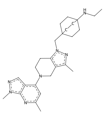 CCNC12CCC(Cn3nc(C)c4c3CCN(c3cc(C)nc5c3cnn5C)C4)(CC1)CC2